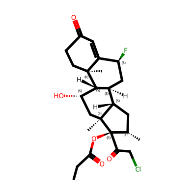 CCC(=O)O[C@]1(C(=O)CCl)[C@@H](C)C[C@H]2[C@@H]3C[C@H](F)C4=CC(=O)CC[C@]4(C)[C@H]3[C@@H](O)C[C@@]21C